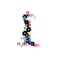 COc1nc(N[C@@H]2CCc3c(-c4cccc(-c5nc6cc(CN7CC[C@@H](C(N)=O)C7)cc(F)c6o5)c4F)cccc32)c(C(F)(F)F)nc1CN1CC[C@@H](O)C1